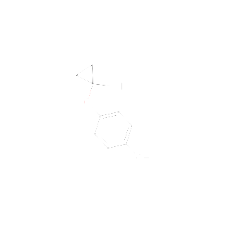 Cc1ccc(OC2(C)CC2)cc1